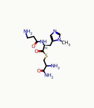 Cn1cncc1C[C@H](NC(=O)CCN)C(=O)SCC(N)C(N)=O